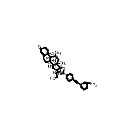 C[C@]12C=CC(=O)C=C1CC[C@H]1[C@@H]3C[C@H]4O[C@H](c5ccc(C#Cc6cccc(N)c6)cc5)O[C@@]4(C(=O)CCO)[C@@]3(C)C[C@H](O)[C@@]12F